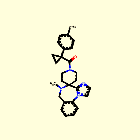 COc1ccc(C2(C(=O)N3CCC4(CC3)c3nccn3-c3ccccc3CN4C)CC2)cc1